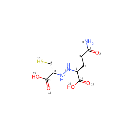 NC(=O)CC[C@H](NN[C@@H](CS)C(=O)O)C(=O)O